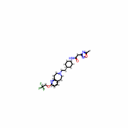 Cc1nc(CC(=O)N[C@H]2CC[C@H](CCN3CCc4ccc(OCC(F)(F)F)nc4CC3)CC2)no1